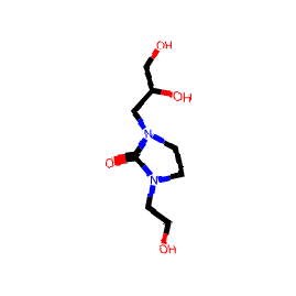 O=C1N(CCO)CCN1CC(O)CO